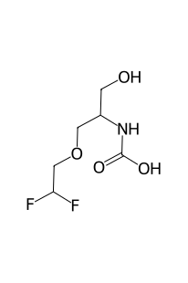 O=C(O)NC(CO)COCC(F)F